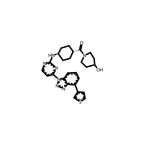 O=C([C@H]1CC[C@H](Nc2nccc(-n3nnc4c(-c5ccsc5)cccc43)n2)CC1)N1CCC(O)CC1